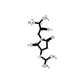 CC(C)SC1CC(=O)N(CC(=O)C(C)C)C1=O